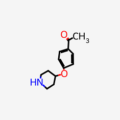 CC(=O)c1ccc(OC2CCNCC2)cc1